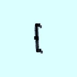 CCCCCCCCCCCCSC(=S)SCCCCCCCCCCCC